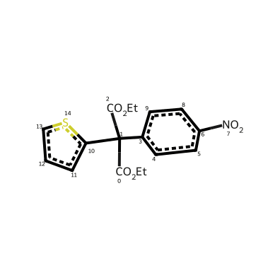 CCOC(=O)C(C(=O)OCC)(c1ccc([N+](=O)[O-])cc1)c1cccs1